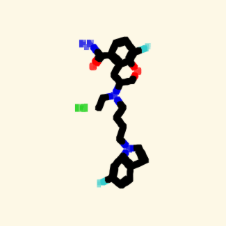 CCN(CCCCn1ccc2ccc(F)cc21)C1COc2c(F)ccc(C(N)=O)c2C1.Cl